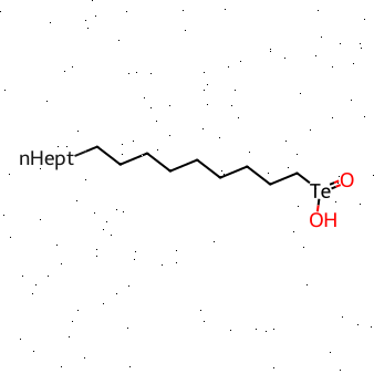 CCCCCCCCCCCCCCCC[Te](=O)O